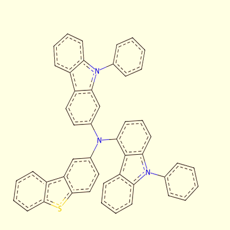 c1ccc(-n2c3ccccc3c3ccc(N(c4ccc5sc6ccccc6c5c4)c4cccc5c4c4ccccc4n5-c4ccccc4)cc32)cc1